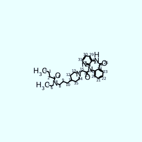 CCCC(=O)N(CC)CCCC1CCN(CC(=O)N2c3ccccc3C(=O)Nc3cccnc32)CC1